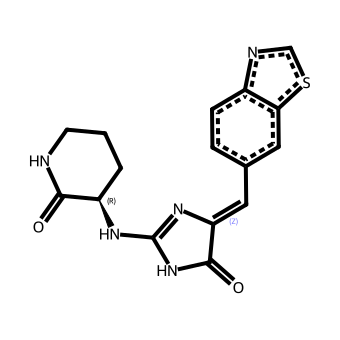 O=C1NC(N[C@@H]2CCCNC2=O)=N/C1=C\c1ccc2ncsc2c1